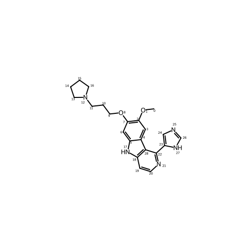 COc1cc2c(cc1OCCCN1CCCC1)[nH]c1ccnc(-c3cnc[nH]3)c12